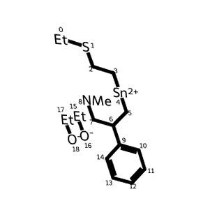 CCSC[CH2][Sn+2][CH2]C(CNC)c1ccccc1.CC[O-].CC[O-]